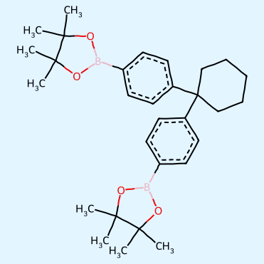 CC1(C)OB(c2ccc(C3(c4ccc(B5OC(C)(C)C(C)(C)O5)cc4)CCCCC3)cc2)OC1(C)C